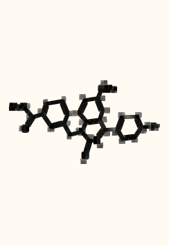 CNC(=O)c1cccc(Cn2c(=O)nc(-c3ccc(C(C)C)cc3)c3cc(OC)ccc32)c1